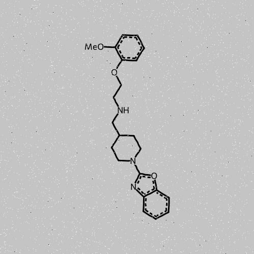 COc1ccccc1OCCNCC1CCN(c2nc3ccccc3o2)CC1